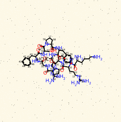 NCCCCC(N)C(=O)NC(CCCN=C(N)N)C(=O)N1CCCC1C(=O)N1CCCC1C(=O)NCC(=O)NC(Cc1ccccc1)C(=O)NC(CO)C(=O)N1CCCC1C(=O)NC(Cc1ccccc1)C(=O)NC(CCCN=C(N)N)C(=O)O